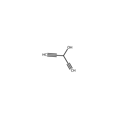 C#CC(O)C#C